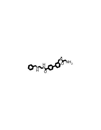 CN(Cc1cccc(-c2ccc(C(=O)NCCNCc3ccccc3)cc2)c1)C(=O)CN